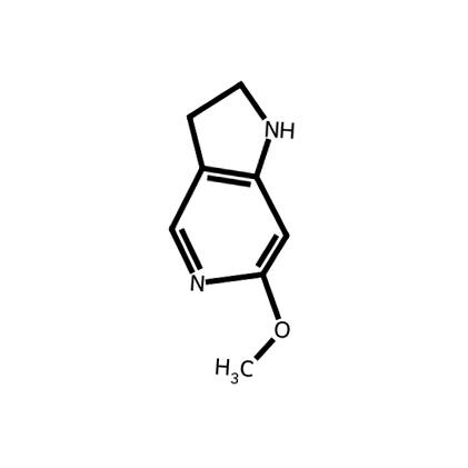 COc1cc2c(cn1)CCN2